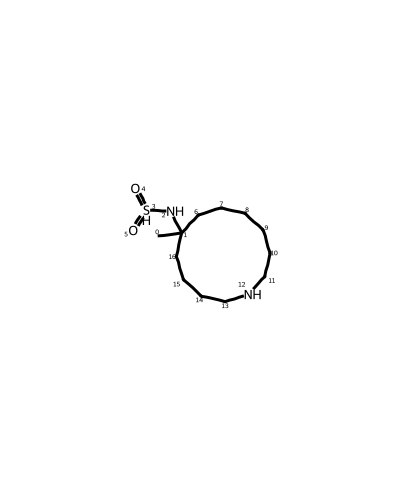 CC1(N[SH](=O)=O)CCCCCCNCCCC1